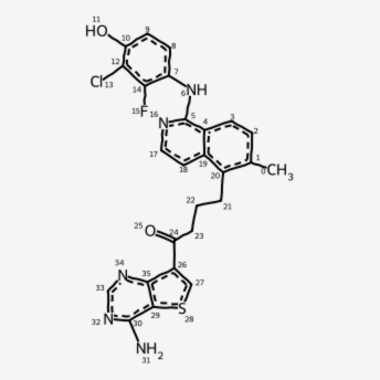 Cc1ccc2c(Nc3ccc(O)c(Cl)c3F)nccc2c1CCCC(=O)c1csc2c(N)ncnc12